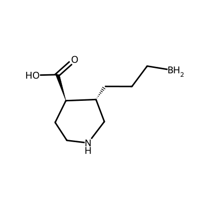 BCCC[C@@H]1CNCC[C@H]1C(=O)O